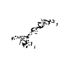 COC[C@@H](CO[C@H]1CCN(C2CCN(c3ncc(C(F)(F)F)cn3)CC2)C1=O)Oc1cn[nH]c(=O)c1C(F)(F)F